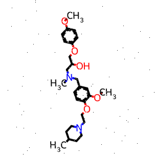 COc1ccc(OCC(O)CN(C)Cc2ccc(OCCN3CCC(C)CC3)c(OC)c2)cc1